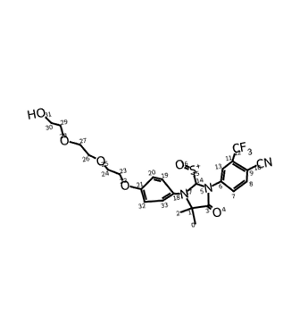 CC1(C)C(=O)N(c2ccc(C#N)c(C(F)(F)F)c2)C([S+]=O)N1c1ccc(OCCOCCOCCO)cc1